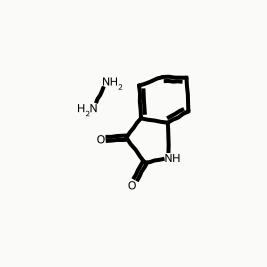 NN.O=C1Nc2ccccc2C1=O